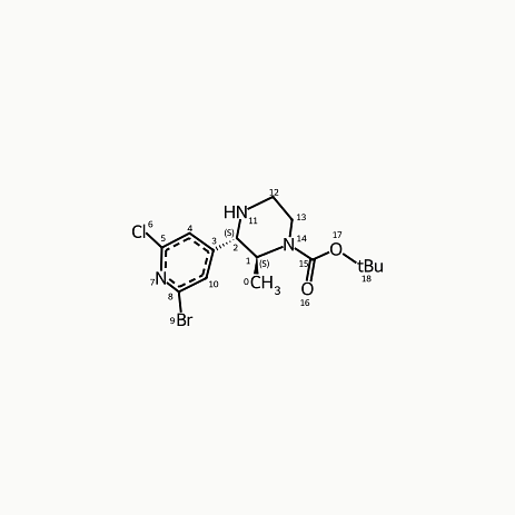 C[C@H]1[C@H](c2cc(Cl)nc(Br)c2)NCCN1C(=O)OC(C)(C)C